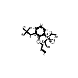 C=CCOc1c(CC(C)(C)C)cccc1[Si](Cl)(CC)CC